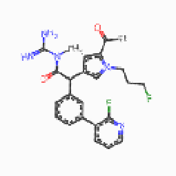 CCC(=O)c1cc(C(C(=O)N(C)C(=N)N)c2cccc(-c3cccnc3F)c2)cn1CCCF